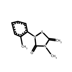 C=C1SN(c2ccccc2C)C(=O)N1C